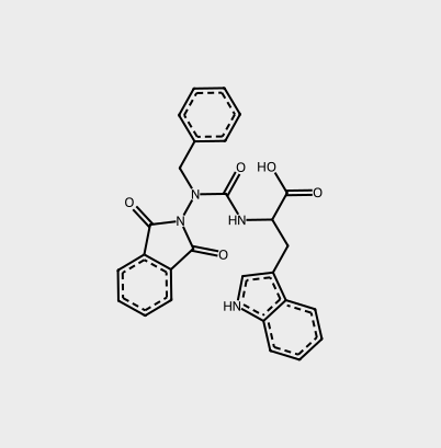 O=C(O)C(Cc1c[nH]c2ccccc12)NC(=O)N(Cc1ccccc1)N1C(=O)c2ccccc2C1=O